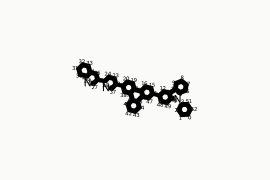 c1ccc(-n2c3ccccc3c3cc(-c4ccc5c6ccc(-c7ccc(-c8cnc9ccccc9c8)nc7)cc6c6ccccc6c5c4)ccc32)cc1